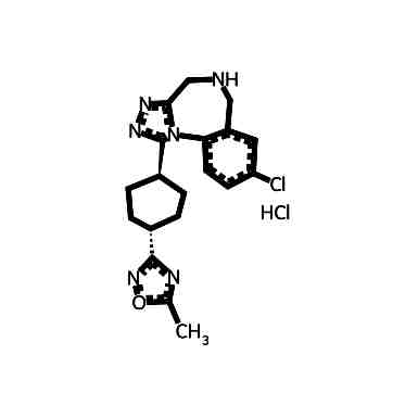 Cc1nc([C@H]2CC[C@H](c3nnc4n3-c3ccc(Cl)cc3CNC4)CC2)no1.Cl